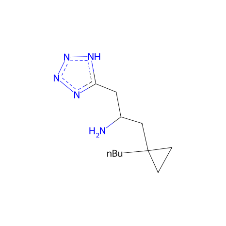 CCCCC1(CC(N)Cc2nnn[nH]2)CC1